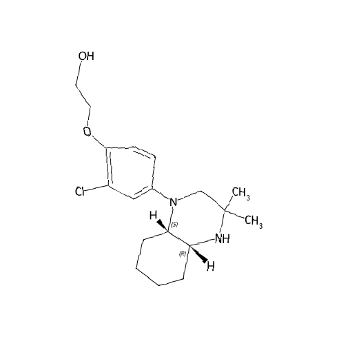 CC1(C)CN(c2ccc(OCCO)c(Cl)c2)[C@H]2CCCC[C@H]2N1